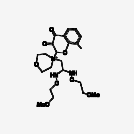 COCCONC(C[N+]1(C2Oc3c(C)cccc3C(=O)C2=O)CCOCC1)NOCCOC